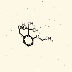 CCOc1cccc(CO)c1C(C)(C)C